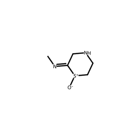 CN=C1CNCC[S+]1[O-]